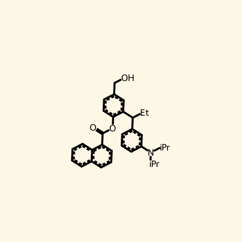 CCC(c1cccc(N(C(C)C)C(C)C)c1)c1cc(CO)ccc1OC(=O)c1cccc2ccccc12